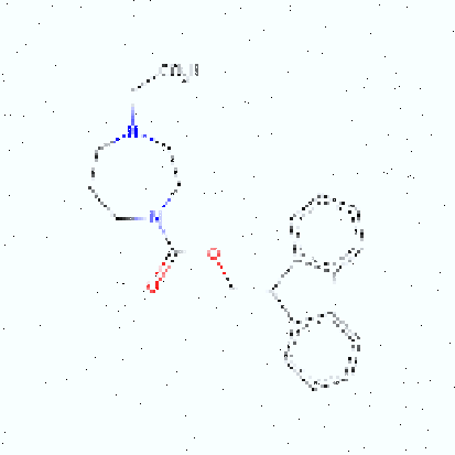 O=C(O)CN1CCCN(C(=O)OCC2c3ccccc3-c3ccccc32)CC1